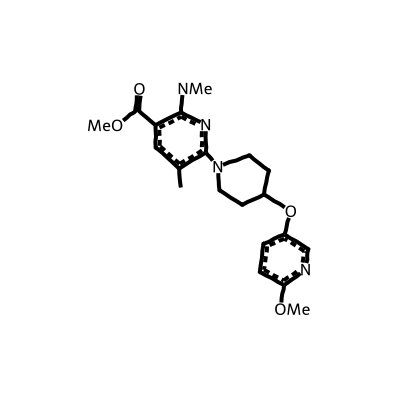 CNc1nc(N2CCC(Oc3ccc(OC)nc3)CC2)c(C)cc1C(=O)OC